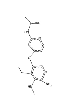 CCc1c(Oc2ccnc(NC(C)=O)c2)cnc(N)c1NC